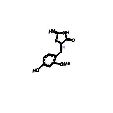 COc1cc(O)ccc1/C=C1\SC(=N)NC1=O